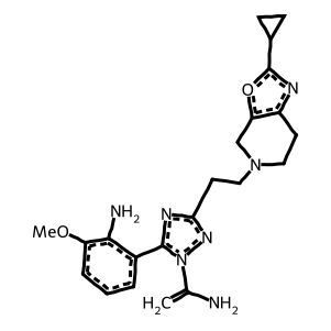 C=C(N)n1nc(CCN2CCc3nc(C4CC4)oc3C2)nc1-c1cccc(OC)c1N